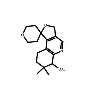 CC(=O)OC1c2ncc3c(c2CCC1(C)C)C1(CCOCC1)OC3